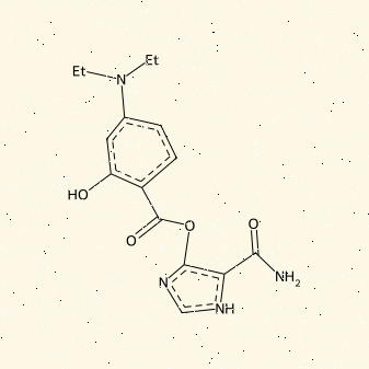 CCN(CC)c1ccc(C(=O)Oc2nc[nH]c2C(N)=O)c(O)c1